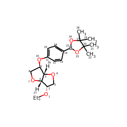 CCO[C@H]1CO[C@@H]2[C@H]1OC[C@H]2Oc1ccc(B2OC(C)(C)C(C)(C)O2)cc1